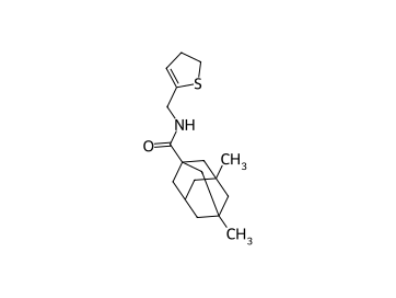 CC12CC3CC(C)(C1)CC(C(=O)NCC1=CCCS1)(C3)C2